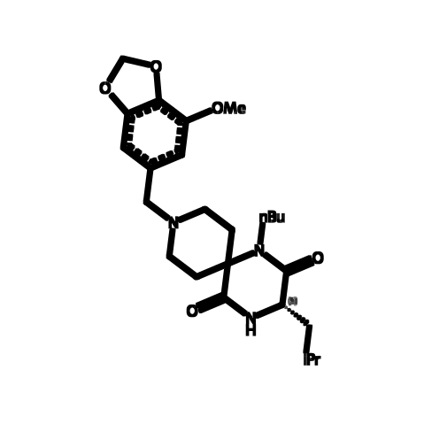 CCCCN1C(=O)[C@H](CC(C)C)NC(=O)C12CCN(Cc1cc(OC)c3c(c1)OCO3)CC2